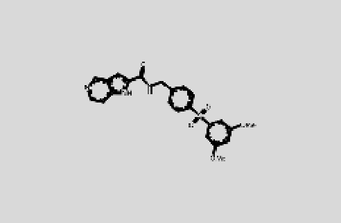 COc1cc(OC)cc(S(=O)(=O)c2ccc(CNC(=O)c3cc4cnccc4[nH]3)cc2)c1